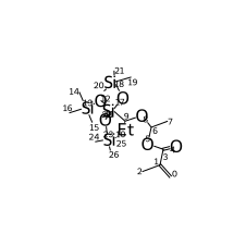 C=C(C)C(=O)OC(C)OC(CC)[Si](O[Si](C)(C)C)(O[Si](C)(C)C)O[Si](C)(C)C